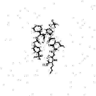 CCCCC(NC(=O)CNC(=O)C(=O)C(CCC)NC(=O)[C@@H]1C[C@@H](OC(C)(C)C)CN1C(=O)C(NC(=O)Cc1ccc(C(F)(F)F)cc1)C1CCCCC1)C(N)=O